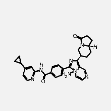 N[N+]12C=CN=CC1=C([C@@H]1CC[C@H]3CCC(=O)N3C1)N=C2c1ccc(C(=O)Nc2cc(C3CC3)ccn2)cc1